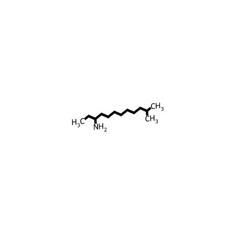 CCC(N)CCCCCCCC(C)C